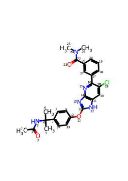 CC(=O)NC(C)(C)c1ccc(Oc2nc3nc(-c4cccc(C(=O)N(C)C)c4)c(Cl)cc3[nH]2)cc1